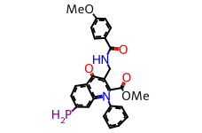 COC(=O)c1c(CNC(=O)c2ccc(OC)cc2)c(=O)c2ccc(P)cc2n1-c1ccccc1